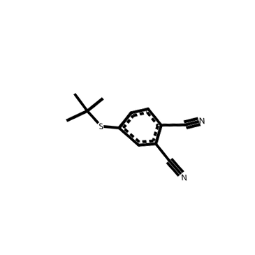 CC(C)(C)Sc1ccc(C#N)c(C#N)c1